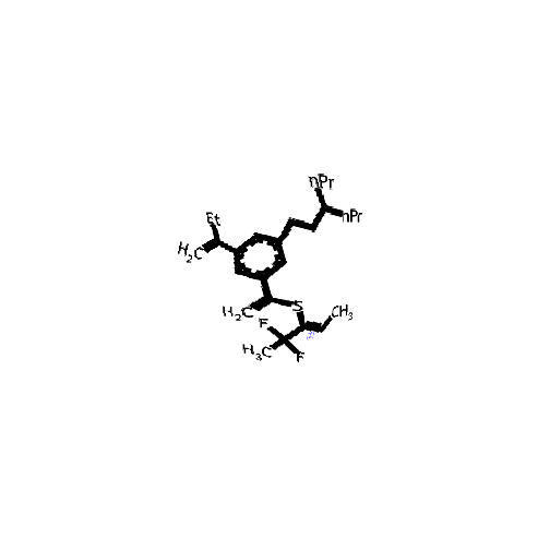 C=C(CC)c1cc(CCC(CCC)CCC)cc(C(=C)S/C(=C\C)C(C)(F)F)c1